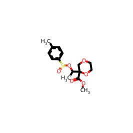 COC(=O)C1(C(C)OS(=O)c2ccc(C)cc2)COCCO1